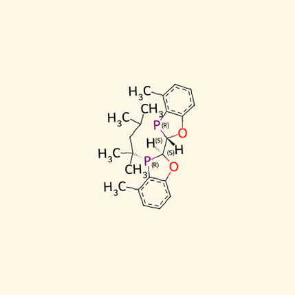 Cc1cccc2c1[P@@]1[C@H](O2)[C@H]2Oc3cccc(C)c3[P@]2C(C)(C)CC1(C)C